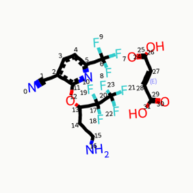 N#Cc1ccc(C(F)(F)F)nc1OC(CCN)C(F)(F)C(F)(F)F.O=C(O)/C=C/C(=O)O